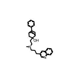 CN(CCCc1cnc2ccccc2c1)CCC1(O)CC2CCC1C=C2c1ccccc1